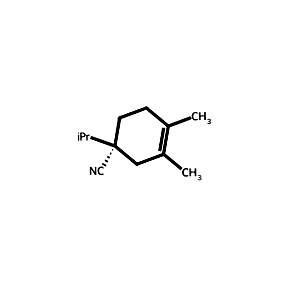 CC1=C(C)C[C@@](C#N)(C(C)C)CC1